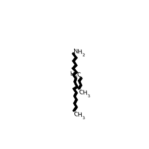 CCCCCC.CCCCCCCCCCCCCCCCCCN